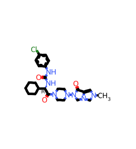 CN1C=C2C(=O)N(N3CCN(C(=O)[C@H](NC(=O)Nc4ccc(Cl)cc4)C4CCCCC4)CC3)CN2C1